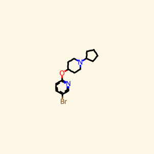 Brc1ccc(OC2CCN(C3CCCC3)CC2)nc1